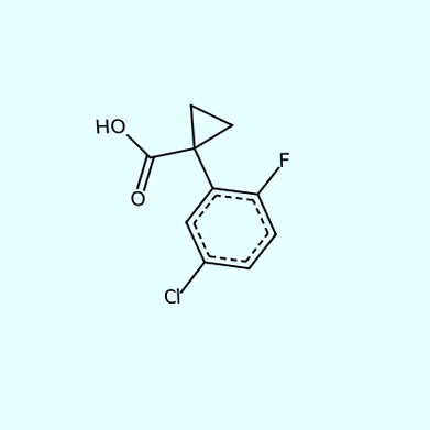 O=C(O)C1(c2cc(Cl)ccc2F)CC1